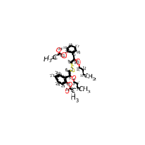 CCCCOC(CSCC(OCCCC)c1ccccc1OC(C)=O)c1ccccc1OC(C)=O